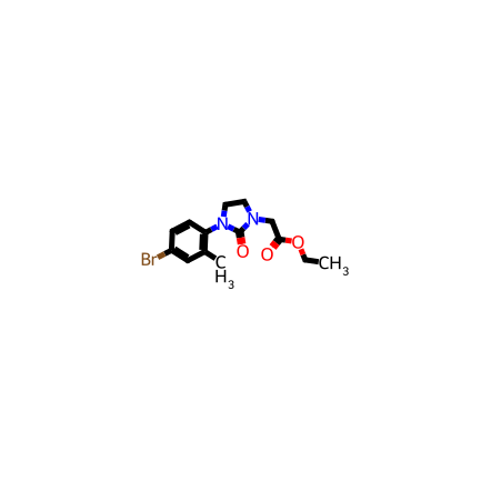 CCOC(=O)CN1CCN(c2ccc(Br)cc2C)C1=O